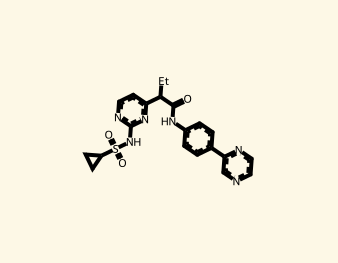 CCC(C(=O)Nc1ccc(-c2cnccn2)cc1)c1ccnc(NS(=O)(=O)C2CC2)n1